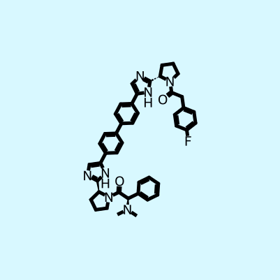 CN(C)[C@@H](C(=O)N1CCC[C@H]1c1ncc(-c2ccc(-c3ccc(-c4cnc([C@@H]5CCCN5C(=O)Cc5ccc(F)cc5)[nH]4)cc3)cc2)[nH]1)c1ccccc1